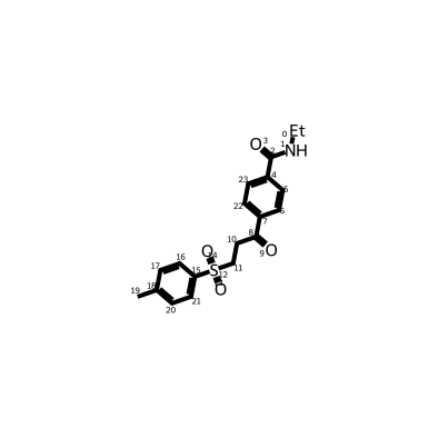 CCNC(=O)c1ccc(C(=O)CCS(=O)(=O)c2ccc(C)cc2)cc1